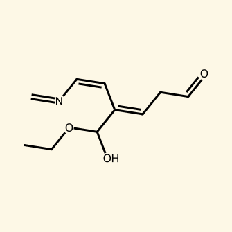 C=N/C=C\C(=C/CC=O)C(O)OCC